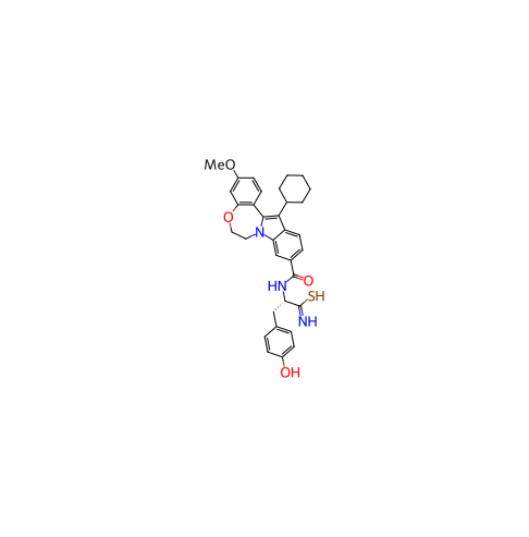 COc1ccc2c(c1)OCCn1c-2c(C2CCCCC2)c2ccc(C(=O)N[C@@H](Cc3ccc(O)cc3)C(=N)S)cc21